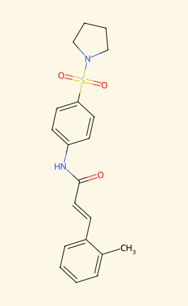 Cc1ccccc1C=CC(=O)Nc1ccc(S(=O)(=O)N2CCCC2)cc1